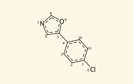 Clc1ccc(-c2[c]nco2)cc1